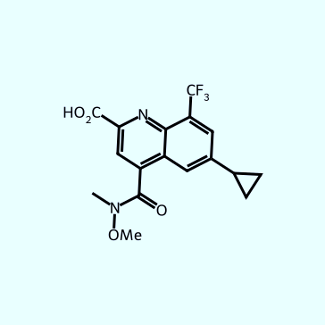 CON(C)C(=O)c1cc(C(=O)O)nc2c(C(F)(F)F)cc(C3CC3)cc12